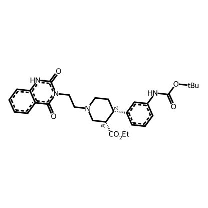 CCOC(=O)[C@@H]1CN(CCn2c(=O)[nH]c3ccccc3c2=O)CC[C@@H]1c1cccc(NC(=O)OC(C)(C)C)c1